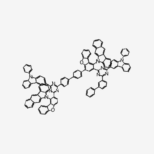 c1ccc(-c2cccc(-c3nc(-c4ccc5c(c4)c4ccccc4n5-c4ccccc4)nc(-c4cc(-c5ccc(-c6ccc(-c7nc(-c8ccc9c(c8)c8ccccc8n9-c8ccccc8)nc(-c8ccc9oc%10ccccc%10c9c8-n8c9ccccc9c9cc%10ccccc%10cc98)n7)cc6)cc5)c5oc6ccccc6c5c4-n4c5ccccc5c5cc6ccccc6cc54)n3)c2)cc1